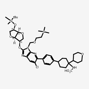 CC(C)(C)[Si](C)(C)O[C@@H]1CO[C@H]2[C@@H]1OC[C@H]2Oc1nc2cc(Cl)c(-c3ccc(C4CCC(NC(=O)O)(C5CCOCC5)CC4)cc3)nc2n1COCC[Si](C)(C)C